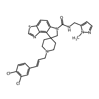 Cn1nccc1CNC(=O)N1CC2(CCN(CC=Cc3ccc(Cl)c(Cl)c3)CC2)c2c1ccc1scnc21